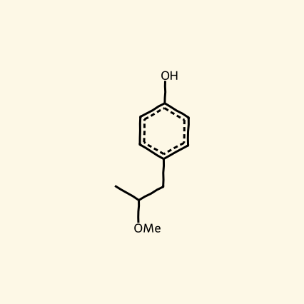 COC(C)Cc1ccc(O)cc1